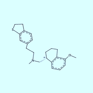 COc1cccc2c1CCC[C@H]2CN(C)CCc1ccc2c(c1)SCC2